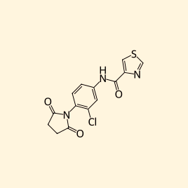 O=C(Nc1ccc(N2C(=O)CCC2=O)c(Cl)c1)c1cscn1